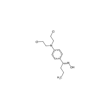 CCCC(=NO)c1ccc(N(CCCl)CCCl)cc1